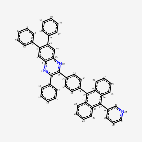 c1ccc(-c2cc3nc(-c4ccccc4)c(-c4ccc(-c5c6ccccc6c(-c6cccnc6)c6ccccc56)cc4)nc3cc2-c2ccccc2)cc1